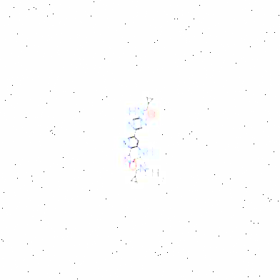 CN(CC1CC1)C[C@@H](C=O)Nc1cc(-c2cnc(NC(=O)C3CC3)cn2)cnc1C#N